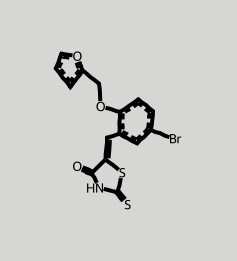 O=C1NC(=S)S/C1=C\c1cc(Br)ccc1OCc1ccco1